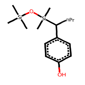 CCCC(c1ccc(O)cc1)[Si](C)(C)O[Si](C)(C)C